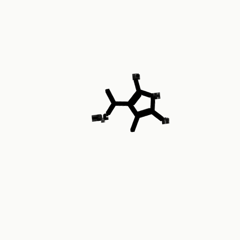 CCc1[nH]c(CC)c(C(C)C(=O)O)c1C